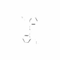 BrCc1ccccc1CCc1ccccc1CBr